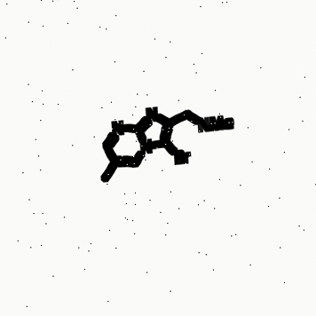 CNCc1nc2ncc(C)cn2c1Br